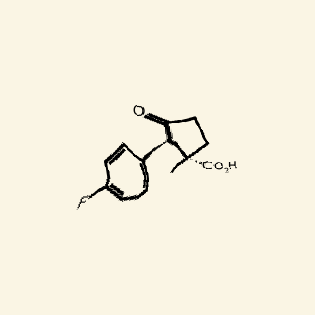 C[C@]1(C(=O)O)CCC(=O)[C@@H]1c1ccc(F)cc1